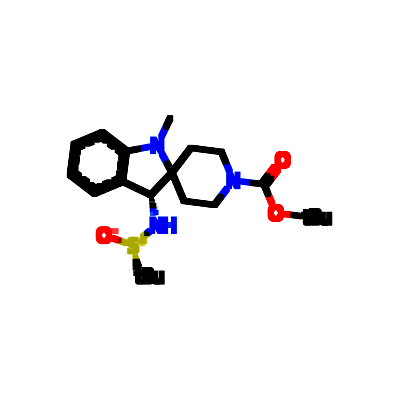 CN1c2ccccc2[C@@H](N[S@+]([O-])C(C)(C)C)C12CCN(C(=O)OC(C)(C)C)CC2